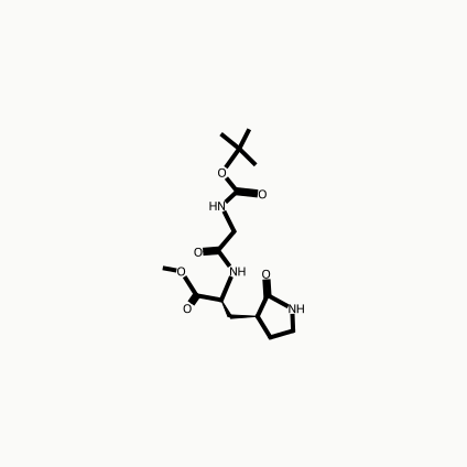 COC(=O)[C@H](C[C@@H]1CCNC1=O)NC(=O)CNC(=O)OC(C)(C)C